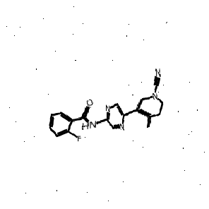 CC1=C(c2cnc(NC(=O)c3ccccc3F)cn2)CN(C#N)CC1